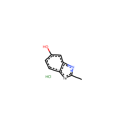 Cc1nc2cc(O)ccc2[te]1.Cl